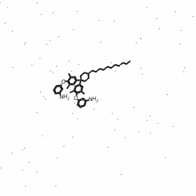 CCCCCCCCCCCC1CCC(c2cc(C)c(Oc3cccc(N)c3)c(C)c2)(c2cc(C)c(Oc3cccc(N)c3)c(C)c2)CC1